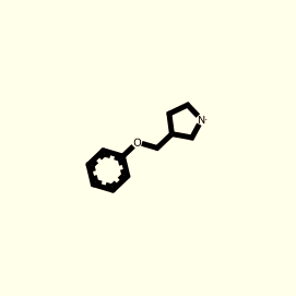 c1ccc(OCC2CC[N]C2)cc1